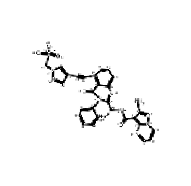 C[C@@H](NC(=O)c1c(N)nn2cccnc12)c1nc2cccc(C#Cc3cnn(CS(N)(=O)=O)c3)c2c(=O)n1-c1ccccc1